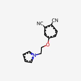 N#Cc1ccc(OCCn2cccc2)cc1C#N